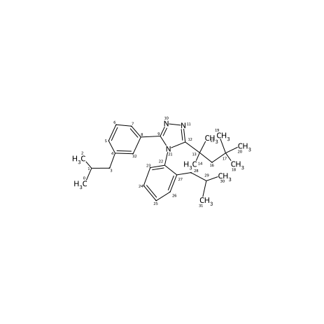 CC(C)Cc1cccc(-c2nnc(C(C)(C)CC(C)(C)C)n2-c2ccccc2CC(C)C)c1